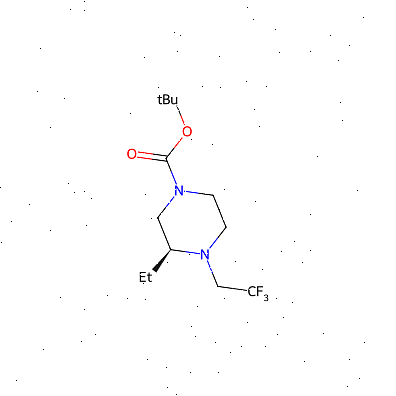 CC[C@H]1CN(C(=O)OC(C)(C)C)CCN1CC(F)(F)F